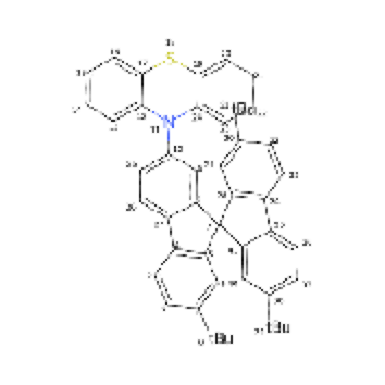 CC(C)(C)c1ccc2c(c1)C1(c3cc(N4c5ccccc5Sc5ccccc54)ccc3-2)c2cc(C(C)(C)C)ccc2-c2ccc(C(C)(C)C)cc21